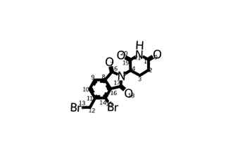 O=C1CCC(N2C(=O)c3ccc(CBr)c(Br)c3C2=O)C(=O)N1